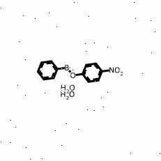 O.O.O=[N+]([O-])c1ccc(O[B]c2ccccc2)cc1